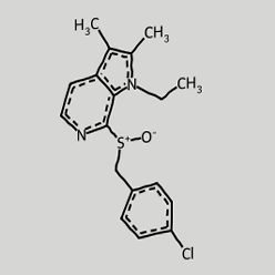 CCn1c(C)c(C)c2ccnc([S+]([O-])Cc3ccc(Cl)cc3)c21